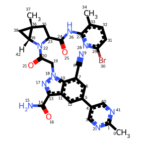 Cc1ncc(-c2cc(C#N)c3c(c2)c(C(N)=O)nn3CC(=O)N2C(C(=O)Nc3nc(Br)ccc3C)C[C@@]3(C)C[C@@H]23)cn1